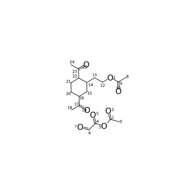 CC(=O)OC(=O)C=O.CC(=O)OCCC1CC(C(C)=O)CCC1C(C)=O